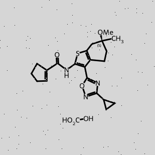 CO[C@@]1(C)CCc2c(sc(NC(=O)C3=CCCC3)c2-c2nc(C3CC3)no2)C1.O=C(O)O